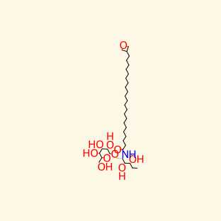 CC[C@@H](O)[C@@H](O)[C@H](COC1OC(CO)C(O)C(O)C1O)NC(=O)CCCCCCCCCCCCCCCCCCCCCC1COC1